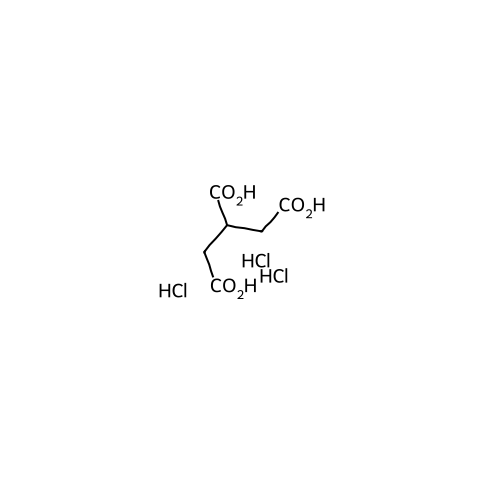 Cl.Cl.Cl.O=C(O)CC(CC(=O)O)C(=O)O